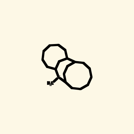 CN1C2CCCCCCC(CC2)C2CCCCCCC1C2